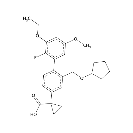 CCOc1cc(OC)cc(-c2ccc(C3(C(=O)O)CC3)cc2COC2CCCC2)c1F